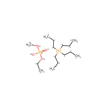 CCC[P+](CCC)(CCC)CCC.CCOP(=O)([O-])OC